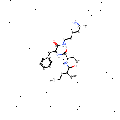 CSCCC(NC(C)=O)C(=O)NC(CC(C)C)C(=O)NC(Cc1ccccc1)C(=O)NCCCCC(N)C(C)=O